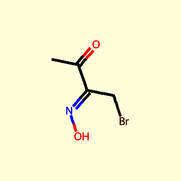 CC(=O)C(CBr)=NO